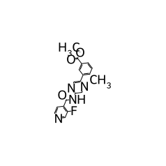 COC(=O)c1ccc(C)c(-c2cnc(NC(=O)c3ccncc3F)cn2)c1